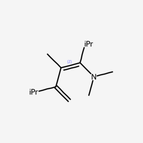 C=C(/C(C)=C(/C(C)C)N(C)C)C(C)C